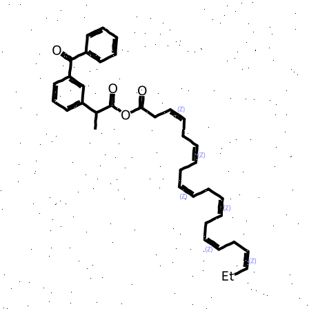 CC/C=C\C/C=C\C/C=C\C/C=C\C/C=C\C/C=C\CC(=O)OC(=O)C(C)c1cccc(C(=O)c2ccccc2)c1